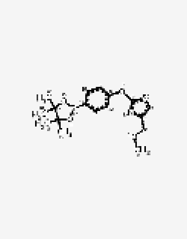 COCc1csc(Oc2ccc(B3OC(C)(C)C(C)(C)O3)cc2)n1